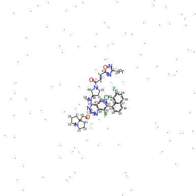 CC(C)c1noc(/C=C/C(=O)N2CC[C@@H](N(C)c3nc(OCC45CCCN4CCC5)nc4c(F)c(-c5cccc6ccc(F)c(Cl)c56)ncc34)C2)n1